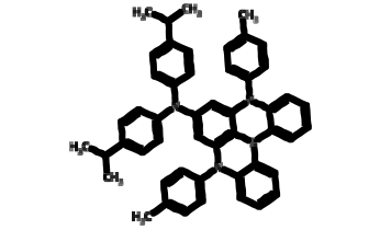 Cc1ccc(N2c3ccccc3B3c4ccccc4N(c4ccc(C)cc4)c4cc(N(c5ccc(C(C)C)cc5)c5ccc(C(C)C)cc5)cc2c43)cc1